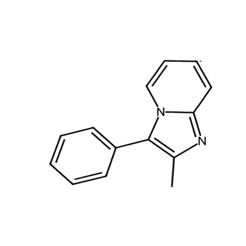 Cc1nc2c[c]ccn2c1-c1ccccc1